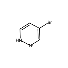 BrC1=C[N]NC=C1